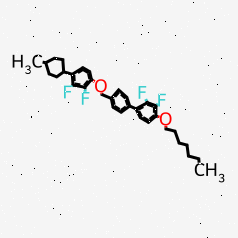 CCCCCCCOc1ccc(-c2ccc(COc3ccc(C4CCC(C)CC4)c(F)c3F)cc2)c(F)c1F